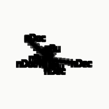 CCCCCCCCCCCCCCCCCCCc1cc(CCCC)cc(C2=CC(CCCC)=C(c3cc(CCCC)cc(CCCCCCCCCCCCCCCCCCC)c3)[N+]2=[N-])c1.CCCCCCCCCCCC[CH2][Ni][CH2]CCCCCCCCCCCC